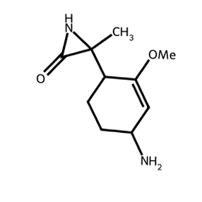 COC1=CC(N)CCC1C1(C)NC1=O